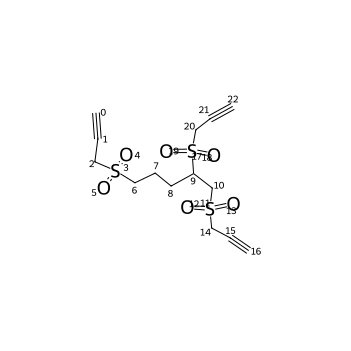 C#CCS(=O)(=O)CCCC(CS(=O)(=O)CC#C)S(=O)(=O)CC#C